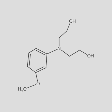 COc1cccc(N(CCO)CCO)c1